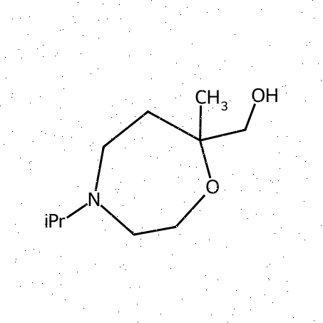 CC(C)N1CCOC(C)(CO)CC1